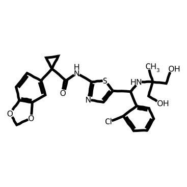 CC(CO)(CO)NC(c1cnc(NC(=O)C2(c3ccc4c(c3)OCO4)CC2)s1)c1ccccc1Cl